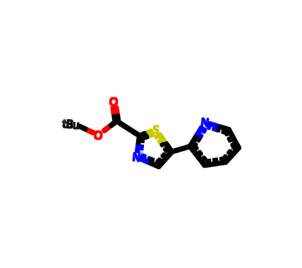 CC(C)(C)OC(=O)c1ncc(-c2ccccn2)s1